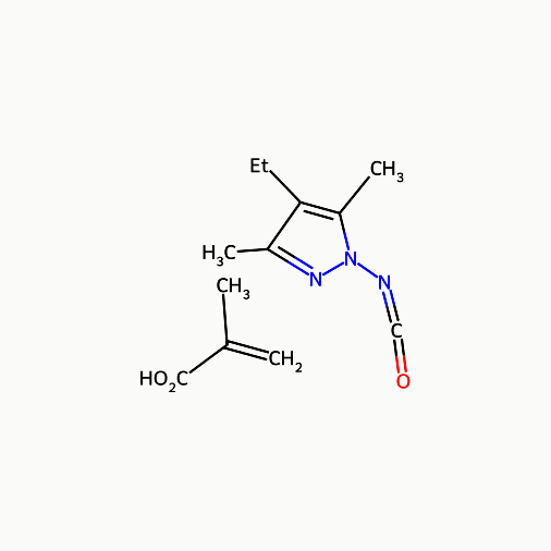 C=C(C)C(=O)O.CCc1c(C)nn(N=C=O)c1C